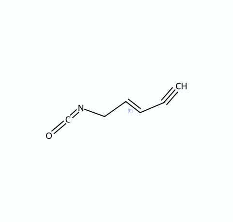 C#C/C=C/CN=C=O